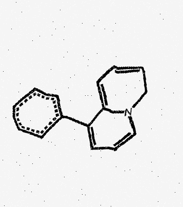 C1=CCN2C=CC=C(c3ccccc3)C2=C1